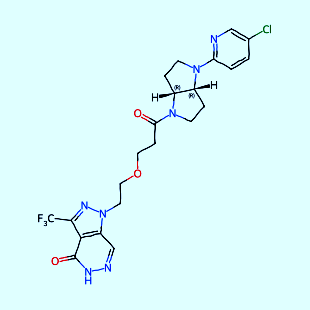 O=C(CCOCCn1nc(C(F)(F)F)c2c(=O)[nH]ncc21)N1CC[C@@H]2[C@H]1CCN2c1ccc(Cl)cn1